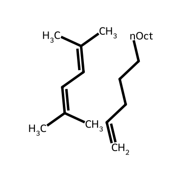 C=CCCCCCCCCCCC.CC(C)=CC=C(C)C